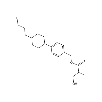 CC(CO)C(=O)OCc1ccc(C2CCC(CCCF)CC2)cc1